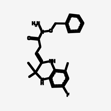 Cc1cc(F)cc2c1NC(=CCC(=O)N(N)OCc1ccccc1)C(C)(C)N2